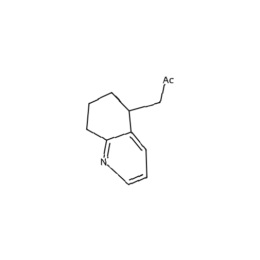 CC(=O)CC1CCCc2ncccc21